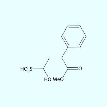 COC(=O)C(CC(O)S(=O)(=O)O)c1ccccc1